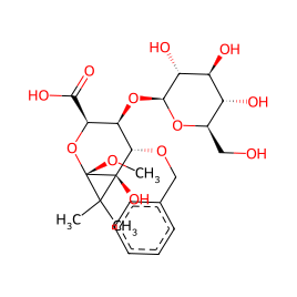 CO[C@@]12O[C@@H](C(=O)O)[C@@H](O[C@@H]3O[C@H](CO)[C@@H](O)[C@H](O)[C@H]3O)[C@H](OCc3ccccc3)[C@]1(O)C2(C)C